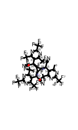 Cc1nc(C(F)(F)F)nc(C(F)(F)F)c1/C(C#N)=C1/C(=C(C#N)c2c(C(F)(F)F)nc(C(F)(F)F)nc2C(F)(F)F)/C1=C(/C#N)c1c(C(F)(F)F)nc(C(F)(F)F)nc1C(F)(F)F